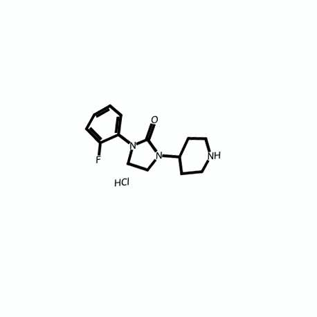 Cl.O=C1N(c2ccccc2F)CCN1C1CCNCC1